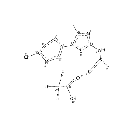 CC(=O)Nc1nc(C)c(-c2ccc(Cl)nc2)s1.O=C(O)C(F)(F)F